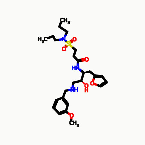 CCCN(CCC)S(=O)(=O)CCC(=O)N[C@@H](Cc1ccco1)[C@H](O)CNCc1cccc(OC)c1